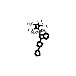 CC1=C(C)C([Si](C)(C)C2C=C(c3ccc(-c4ccccc4)cc3)c3ccccc32)C(C)=C1C